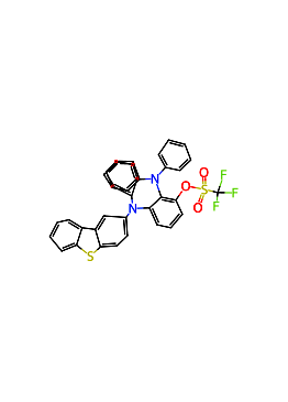 O=S(=O)(Oc1cccc(N(c2ccccc2)c2ccc3sc4ccccc4c3c2)c1N(c1ccccc1)c1ccccc1)C(F)(F)F